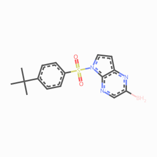 Bc1cnc2c(ccn2S(=O)(=O)c2ccc(C(C)(C)C)cc2)n1